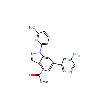 CNC(=O)c1cc(-c2cncc(N)c2)cc2c1cnn2-c1cccc(C(F)(F)F)n1